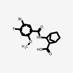 COc1cc(F)c(Br)cc1C(=O)NC1C2CCC(C2)C1C(=O)O